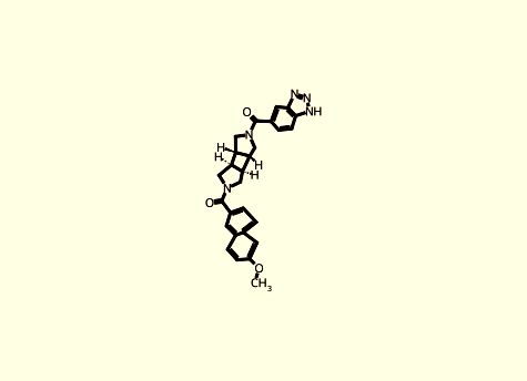 COc1ccc2cc(C(=O)N3C[C@@H]4[C@H](C3)[C@H]3CN(C(=O)c5ccc6[nH]nnc6c5)C[C@@H]43)ccc2c1